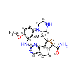 CSc1sc(C(N)=O)c2c1-c1nc(Nc3cc(N4CCNCC4)ccc3OC(F)(F)F)ncc1CC2